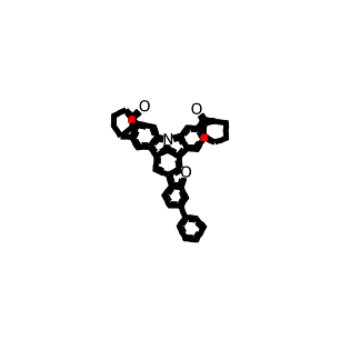 O=C1c2cc3c(cc2C2CCC1CC2)c1cc2c4ccc(-c5ccccc5)cc4oc2c2c4cc5c(cc4n3c12)C(=O)C1CCC5CC1